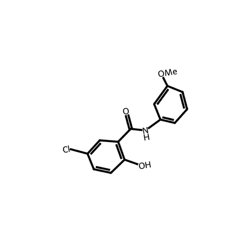 COc1cccc(NC(=O)c2cc(Cl)ccc2O)c1